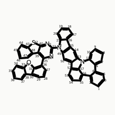 c1ccc2c(c1)-c1ccccc1-n1c3cc4c5ccccc5n(-c5nc(-c6cccc7c6oc6ccccc67)c6c(n5)sc5ccccc56)c4cc3c3cccc-2c31